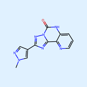 Cn1cc(-c2nc3c4ncccc4[nH]c(=O)n3n2)cn1